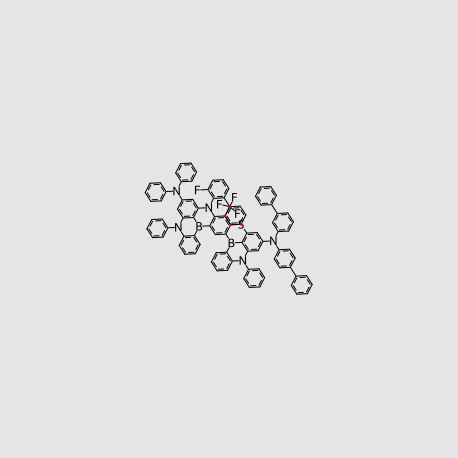 Fc1cccc(-c2ccccc2)c1N1c2cc(N(c3ccccc3)c3ccccc3)cc3c2B(c2ccccc2N3c2ccccc2)c2cc3c(c(C(F)(F)F)c21)Sc1cc(N(c2ccc(-c4ccccc4)cc2)c2cccc(-c4ccccc4)c2)cc2c1B3c1ccccc1N2c1ccccc1